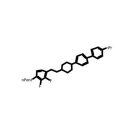 CCCCCc1ccc(CCC2CCC(c3ccc(-c4ccc(CCC)cc4)cc3)CC2)c(F)c1F